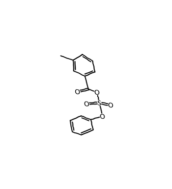 Cc1cccc(C(=O)OS(=O)(=O)Oc2ccccc2)c1